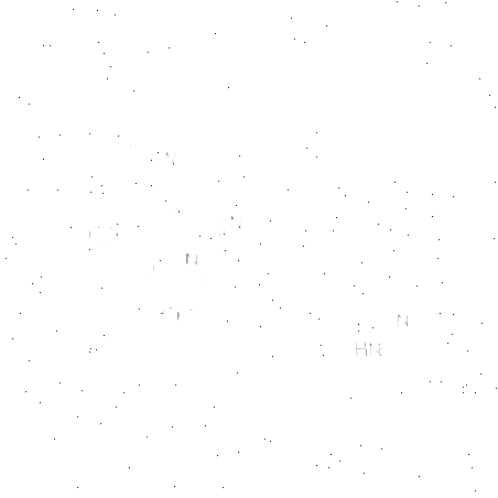 N#CC1C(c2ccc(-c3ccc4nc[nH]c4c3)cc2)C(CO)N1C(=O)c1sc2ncccc2c1N